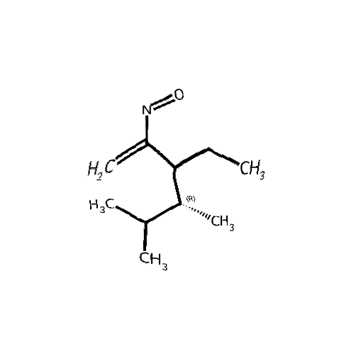 C=C(N=O)C(CC)[C@H](C)C(C)C